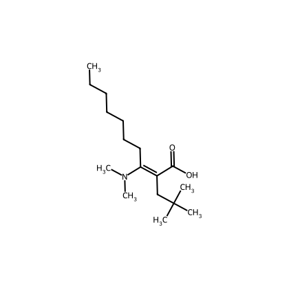 CCCCCCC/C(=C(/CC(C)(C)C)C(=O)O)N(C)C